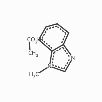 CC(=O)O.Cn1cnc2ccccc21